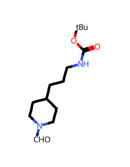 CC(C)(C)OC(=O)NCCCC1CCN(C=O)CC1